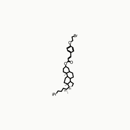 CC(C)CCC[C@@H](C)[C@H]1CCC2C3CCC4CC(OC(=O)C=Cc5ccc(OCCBr)cc5)CC[C@]4(C)C3CC[C@@]21C